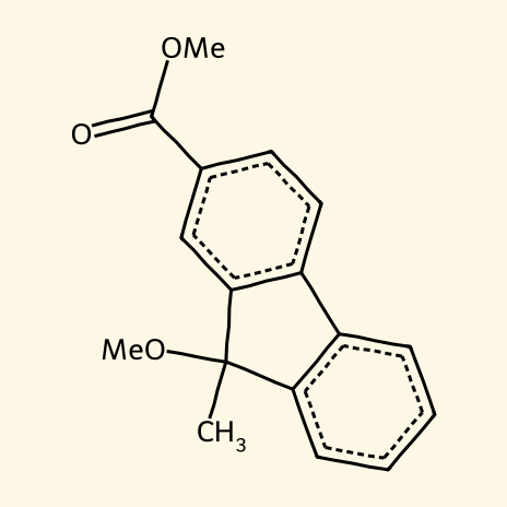 COC(=O)c1ccc2c(c1)C(C)(OC)c1ccccc1-2